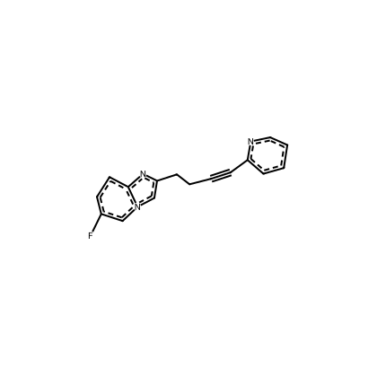 Fc1ccc2nc(CCC#Cc3ccccn3)cn2c1